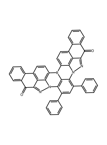 O=C1c2ccccc2-c2ccc3c4c2c1nn4-c1c(-c2ccccc2)cc(-c2ccccc2)c2c1B3c1ccc3c4c(nn-2c14)C(=O)c1ccccc1-3